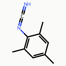 Cc1cc(C)c(N=C=N)c(C)c1